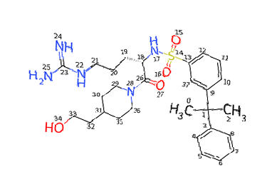 CC(C)(c1ccccc1)c1cccc(S(=O)(=O)N[C@@H](CCCNC(=N)N)C(=O)N2CCC(CCO)CC2)c1